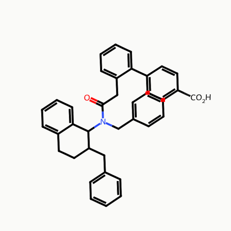 O=C(O)c1ccc(-c2ccccc2CC(=O)N(Cc2ccccc2)C2c3ccccc3CCC2Cc2ccccc2)cc1